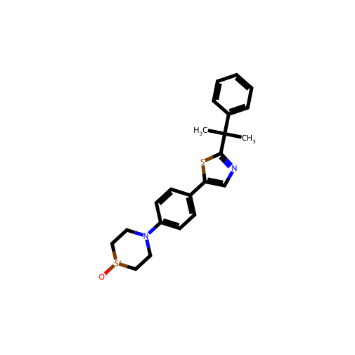 CC(C)(c1ccccc1)c1ncc(-c2ccc(N3CC[S+]([O-])CC3)cc2)s1